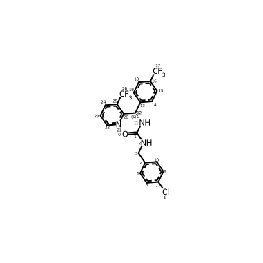 O=C(NCc1ccc(Cl)cc1)N[C@@H](c1ccc(C(F)(F)F)cc1)c1ncccc1C(F)(F)F